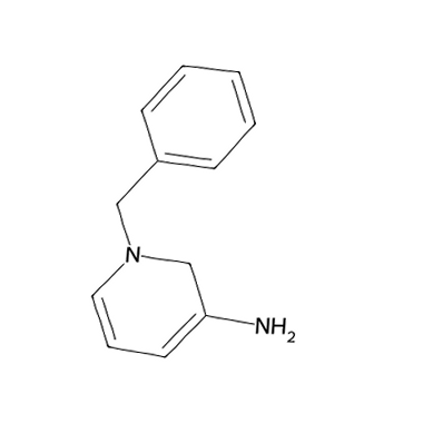 NC1=CC=CN(Cc2ccccc2)C1